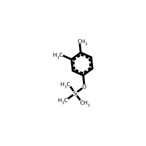 Cc1ccc(O[Si](C)(C)C)cc1C